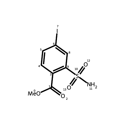 COC(=O)c1ccc(I)cc1S(N)(=O)=O